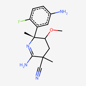 COC1CC(C)(C#N)C(N)=N[C@]1(C)c1cc(N)ccc1F